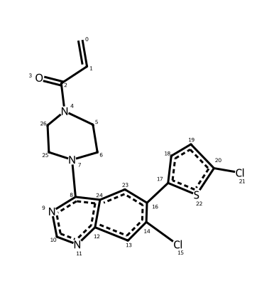 C=CC(=O)N1CCN(c2ncnc3cc(Cl)c(-c4ccc(Cl)s4)cc23)CC1